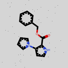 O=C(OCc1ccccc1)c1[nH]ccc1-n1cccc1